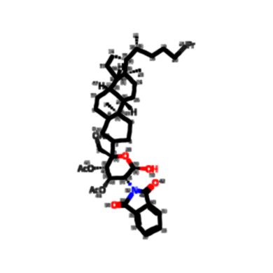 CC(=O)OC[C@@]1(C2CC[C@@]3(C)C(CC[C@H]4[C@@H]5CC[C@H]([C@H](C)CCCC(C)C)[C@@]5(C)CC[C@@H]43)C2)O[C@@H](O)[C@H](N2C(=O)c3ccccc3C2=O)[C@@H](OC(C)=O)[C@@H]1OC(C)=O